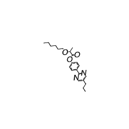 CCCCCCOC(C)C(=O)Oc1ccc(-c2ncc(CCC)cn2)cc1